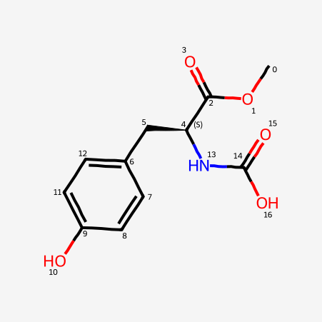 COC(=O)[C@H](Cc1ccc(O)cc1)NC(=O)O